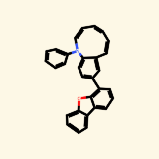 c1ccc(-n2ccccccc3cc(-c4cccc5c4oc4ccccc45)ccc32)cc1